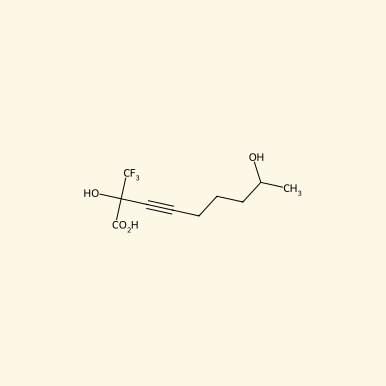 CC(O)CCCC#CC(O)(C(=O)O)C(F)(F)F